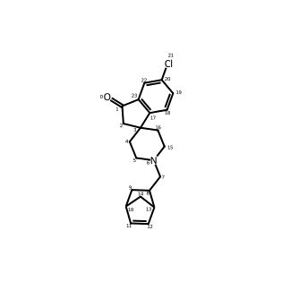 O=C1CC2(CCN(CC3CC4C=CC3C4)CC2)c2ccc(Cl)cc21